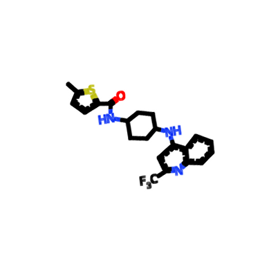 Cc1ccc(C(=O)NC2CCC(Nc3cc(C(F)(F)F)nc4ccccc34)CC2)s1